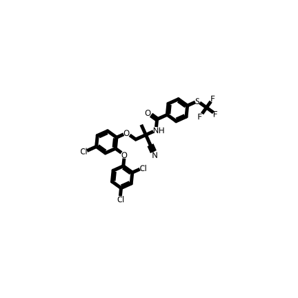 CC(C#N)(COc1ccc(Cl)cc1Oc1ccc(Cl)cc1Cl)NC(=O)c1ccc(SC(F)(F)F)cc1